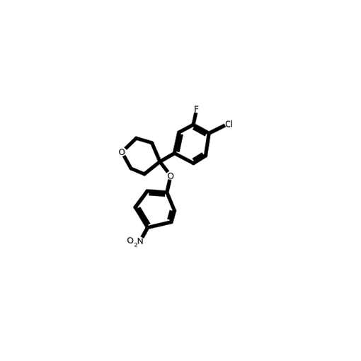 O=[N+]([O-])c1ccc(OC2(c3ccc(Cl)c(F)c3)CCOCC2)cc1